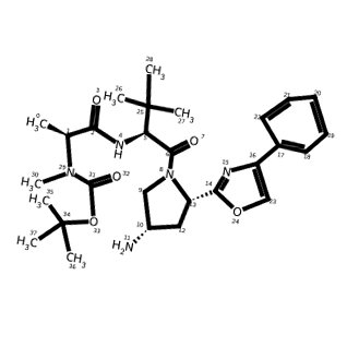 C[C@@H](C(=O)N[C@H](C(=O)N1C[C@@H](N)C[C@H]1c1nc(-c2ccccc2)co1)C(C)(C)C)N(C)C(=O)OC(C)(C)C